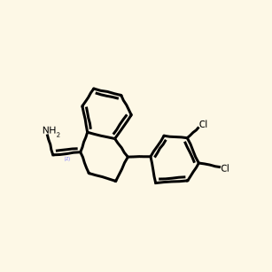 N/C=C1/CCC(c2ccc(Cl)c(Cl)c2)c2ccccc21